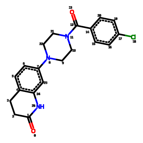 O=C1CCc2ccc(N3CCN(C(=O)c4ccc(Cl)cc4)CC3)cc2N1